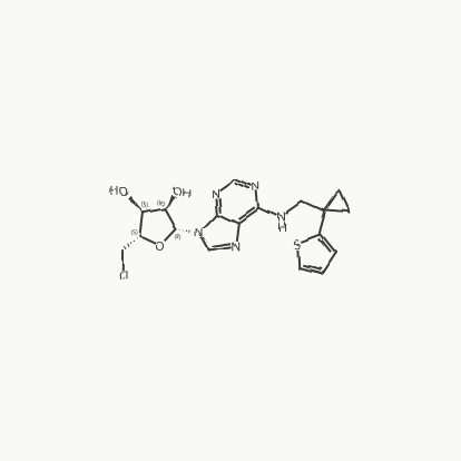 O[C@@H]1[C@H](O)[C@@H](CCl)O[C@H]1n1cnc2c(NCC3(c4cccs4)CC3)ncnc21